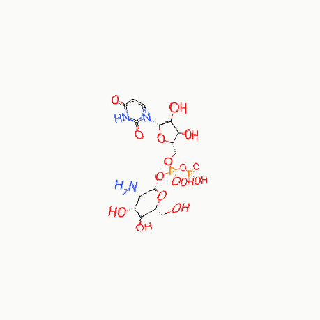 N[C@@H]1[C@H](OP(=O)(OC[C@@H]2O[C@H](n3ccc(=O)[nH]c3=O)C(O)C2O)OP(=O)(O)O)O[C@H](CO)[C@@H](O)[C@@H]1O